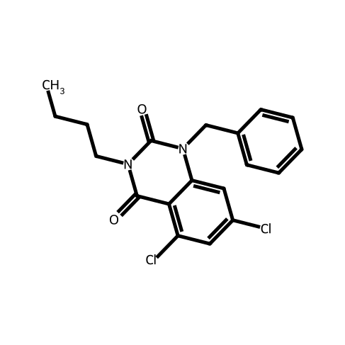 CCCCn1c(=O)c2c(Cl)cc(Cl)cc2n(Cc2ccccc2)c1=O